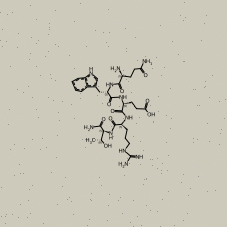 C[C@@H](O)[C@H](NC(=O)[C@H](CCCNC(=N)N)NC(=O)[C@H](CCC(=O)O)NC(=O)[C@H](Cc1c[nH]c2ccccc12)NC(=O)[C@@H](N)CCC(N)=O)C(N)=O